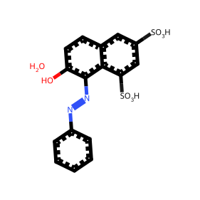 O.O=S(=O)(O)c1cc(S(=O)(=O)O)c2c(N=Nc3ccccc3)c(O)ccc2c1